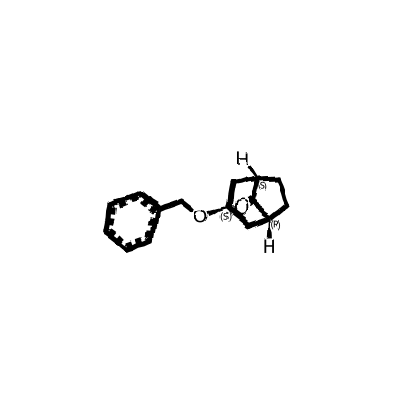 O=C1[C@@H]2CC[C@H]1C[C@H](OCc1ccccc1)C2